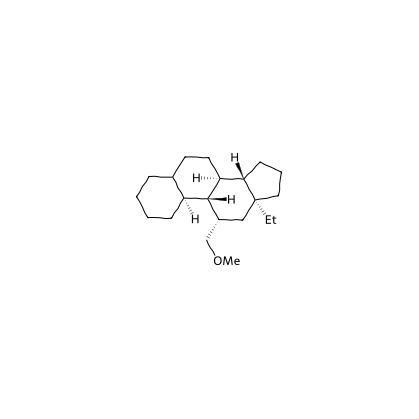 CC[C@@]12CCC[C@H]1[C@@H]1CCC3CCCC[C@@H]3[C@H]1[C@@H](COC)C2